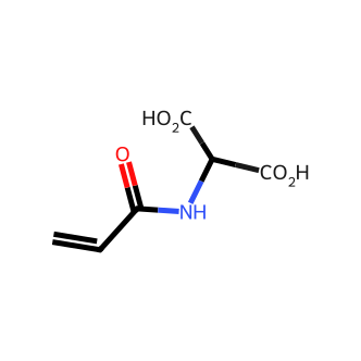 C=CC(=O)NC(C(=O)O)C(=O)O